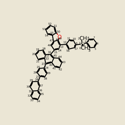 C[Si](C)(c1ccccc1)c1ccc(-c2cc(-c3c4ccccc4c(-c4ccc(-c5ccc6ccccc6c5)cc4)c4ccccc34)cc3c2oc2ccccc23)cc1